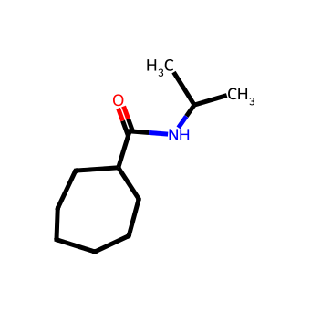 CC(C)NC(=O)C1CCCCCC1